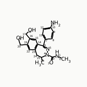 CNC(=O)N1N=C(c2ccc(N)cc2)c2cc(CO)c(CO)cc2CC1C